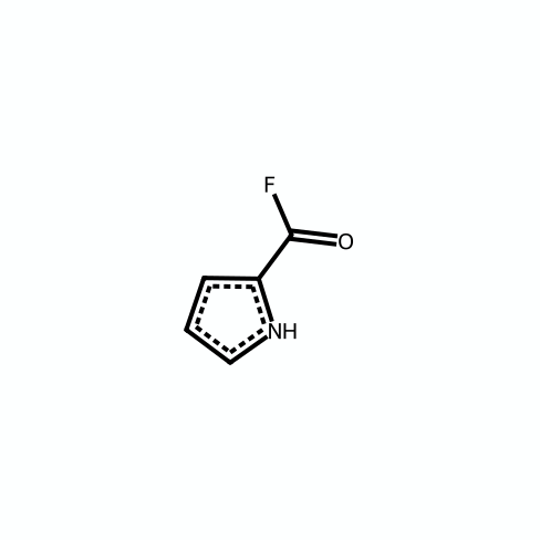 O=C(F)c1ccc[nH]1